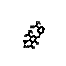 CNC(=O)c1c(C2CC2)c(C(N)=O)cn(Cc2cccc(C(C)O)c2)c1=O